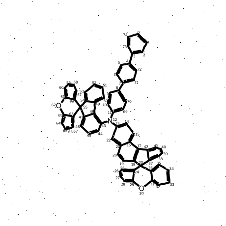 c1ccc(-c2ccc(-c3ccc(N(c4ccc5c6c(ccc5c4)C4(c5ccccc5Oc5ccccc54)c4ccccc4-6)c4cccc5c4-c4ccccc4C54c5ccccc5Oc5ccccc54)cc3)cc2)cc1